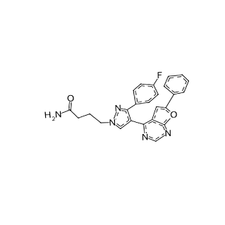 NC(=O)CCCn1cc(-c2ncnc3oc(-c4ccccc4)cc23)c(-c2ccc(F)cc2)n1